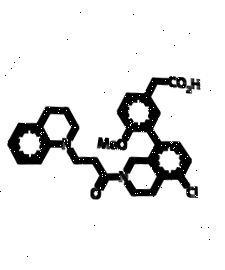 COc1ccc(CC(=O)O)cc1-c1ccc(Cl)c2c1CN(C(=O)CCN1CCCc3ccccc31)CC2